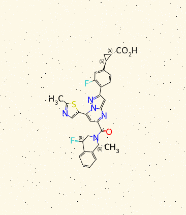 Cc1ncc(-c2cc(C(=O)N3C[C@H](F)c4ccccc4[C@H]3C)nc3cc(-c4ccc([C@H]5C[C@@H]5C(=O)O)cc4F)nn23)s1